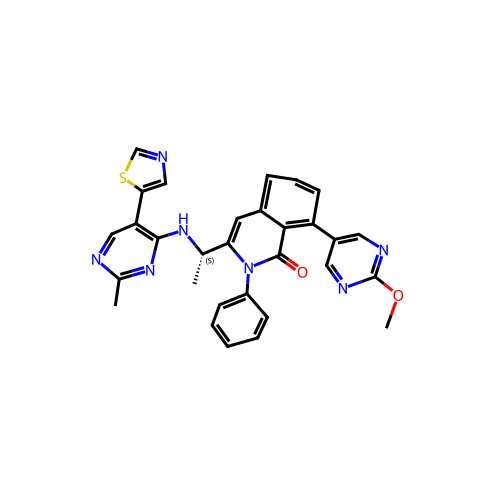 COc1ncc(-c2cccc3cc([C@H](C)Nc4nc(C)ncc4-c4cncs4)n(-c4ccccc4)c(=O)c23)cn1